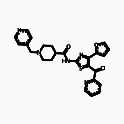 O=C(c1ccccn1)c1sc(NC(=O)C2CCN(Cc3ccncc3)CC2)nc1-c1ccco1